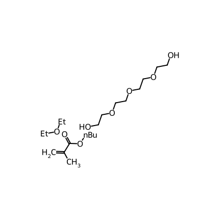 C=C(C)C(=O)OCCCC.CCOCC.OCCOCCOCCOCCO